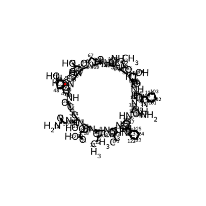 CCCC[C@H]1C(=O)N(C)[C@@H](CCCC)C(=O)N[C@@H](CCC(=O)O)C(=O)N[C@H](C(=O)NCC(N)=O)CSCC(=O)N[C@@H](Cc2ccc(O)cc2)C(=O)N(C)[C@@H](C)C(=O)N[C@@H](CC(=O)O)C(=O)N2CCC[C@H]2C(=O)N[C@@H](CN)C(=O)N[C@@H](CC(C)C)C(=O)N2C[C@H](O)C[C@H]2C(=O)N[C@@H](Cc2c[nH]c3ccccc23)C(=O)N[C@@H](CCN)C(=O)N[C@@H](Cc2c[nH]c3ccccc23)C(=O)N1C